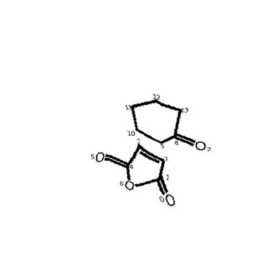 O=C1C=CC(=O)O1.O=C1CCCCC1